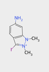 Cn1c2cc(N)ccc2c(I)[n+]1C